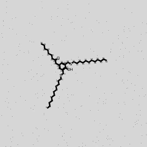 CCCCCCCCCCCCSCc1cc(CC(=O)CCCCCCC)cc(CSCCCCCCCCCCCC)c1O